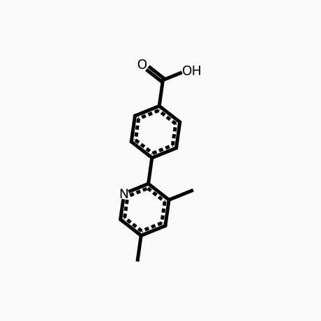 Cc1cnc(-c2ccc(C(=O)O)cc2)c(C)c1